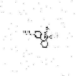 CO[SiH](OC)N1CCCCC1c1cccc(CN)c1